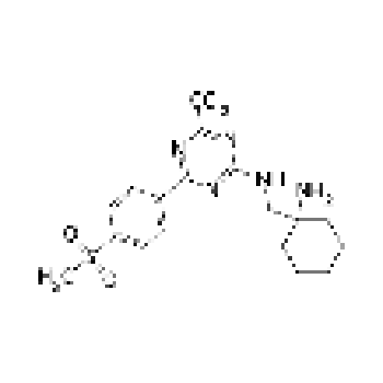 CS(=O)(=O)c1ccc(-c2nc(NCC3(N)CCCCC3)nc(C(Cl)(Cl)Cl)n2)cc1